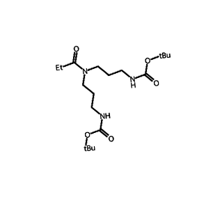 CCC(=O)N(CCCNC(=O)OC(C)(C)C)CCCNC(=O)OC(C)(C)C